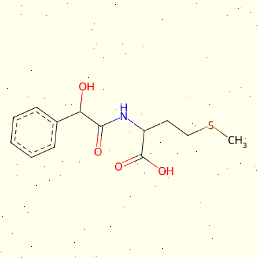 CSCCC(NC(=O)C(O)c1ccccc1)C(=O)O